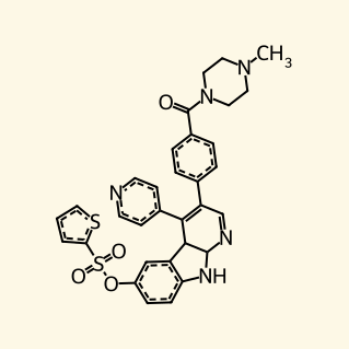 CN1CCN(C(=O)c2ccc(C3=C(c4ccncc4)C4c5cc(OS(=O)(=O)c6cccs6)ccc5NC4N=C3)cc2)CC1